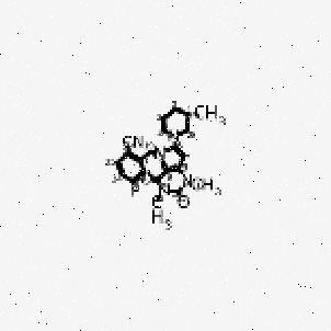 C[C@H]1CCCN(c2cc3c(c(=O)n(C)c(=O)n3C)n2Cc2cc(F)ccc2C#N)C1